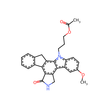 COc1ccc2c(c1)c1c3c(c4c(c1n2CCCOC(C)=O)Cc1ccccc1-4)C(=O)NC3